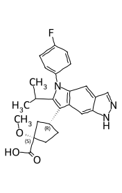 CO[C@@]1(C(=O)O)CC[C@@H](c2c(C(C)C)n(-c3ccc(F)cc3)c3cc4cn[nH]c4cc23)C1